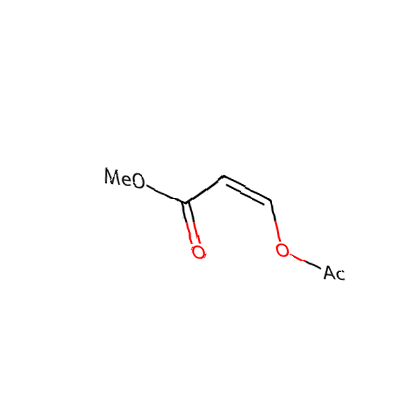 COC(=O)/C=C\OC(C)=O